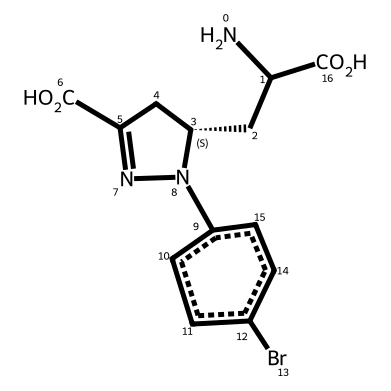 NC(C[C@H]1CC(C(=O)O)=NN1c1ccc(Br)cc1)C(=O)O